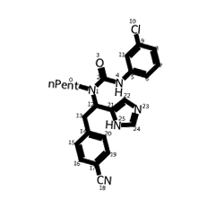 CCCCCN(C(=O)Nc1cccc(Cl)c1)C(Cc1ccc(C#N)cc1)c1cnc[nH]1